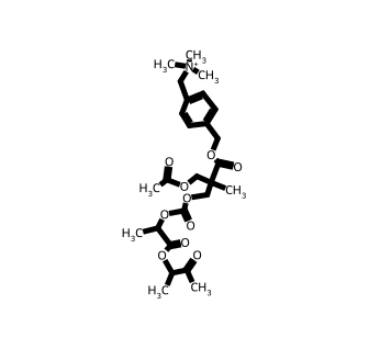 CC(=O)OCC(C)(COC(=O)OC(C)C(=O)OC(C)C(C)=O)C(=O)OCc1ccc(C[N+](C)(C)C)cc1